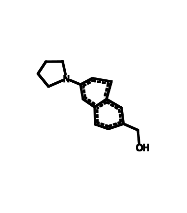 OCc1ccc2cc(N3CCCC3)ccc2c1